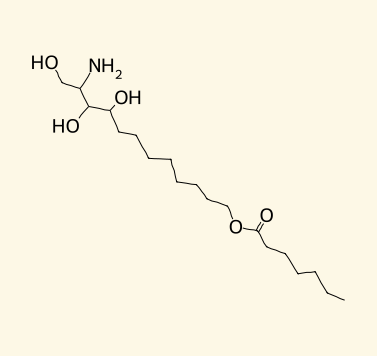 CCCCCCC(=O)OCCCCCCCCC(O)C(O)C(N)CO